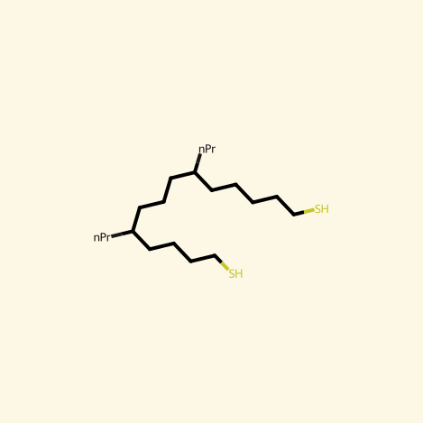 CCCC(CCCCS)CCCC(CCC)CCCCCS